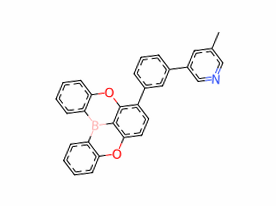 Cc1cncc(-c2cccc(-c3ccc4c5c3Oc3ccccc3B5c3ccccc3O4)c2)c1